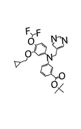 CC(C)(C)OC(=O)c1cccc(N(Cc2cncnc2)c2ccc(OC(F)F)c(OCC3CC3)c2)c1